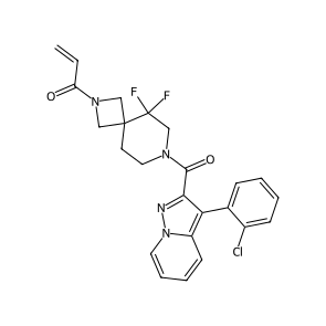 C=CC(=O)N1CC2(CCN(C(=O)c3nn4ccccc4c3-c3ccccc3Cl)CC2(F)F)C1